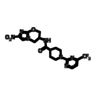 O=C(NC1COc2nc([N+](=O)[O-])cn2C1)C1CCN(c2nccc(C(F)(F)F)n2)CC1